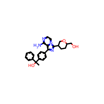 CC(O)(c1ccccc1)c1ccc(-c2nc(C3CCC(CO)OC3)n3ccnc(N)c23)cc1